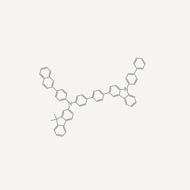 CC1(C)c2ccccc2-c2ccc(N(c3ccc(-c4ccc(-c5ccc6c(c5)c5ccccc5n6-c5ccc(-c6ccccc6)cc5)cc4)cc3)c3ccc(-c4ccc5ccccc5c4)cc3)cc21